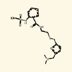 CCC(C)S(=O)(=O)Nc1ccccc1C(=O)NCCSCc1ccc(CN(C)C)o1